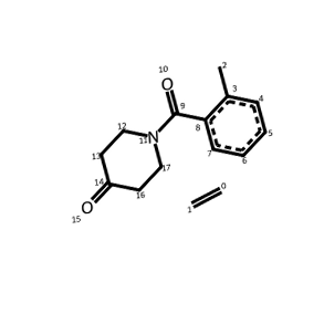 C=C.Cc1ccccc1C(=O)N1CCC(=O)CC1